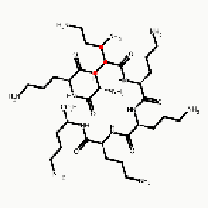 NCCC[C@H](NC(=O)[C@H](CCCN)NC(=O)[C@H](CCCN)NC(=O)[C@H](CCCN)NC(=O)[C@H](CCCN)NC(=O)[C@H](CCCN)NC(=O)[C@@H](N)CCCN)C(=O)O